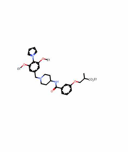 CCOC(=O)C(C)COc1cccc(C(=O)NC2CCN(Cc3cc(OCC)c(-n4cccc4)c(OCC)c3)CC2)c1